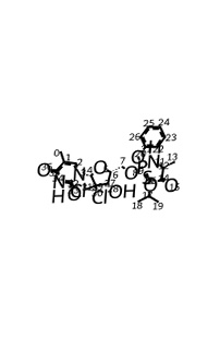 Cc1cn([C@@H]2O[C@H](COP(=S)(N[C@@H](C)C(=O)OC(C)C)Oc3ccccc3)[C@@H](O)C2(Cl)Cl)c(=O)[nH]c1=O